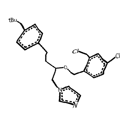 CC(C)(C)c1ccc(CCC(Cn2ccnc2)OCc2ccc(Cl)cc2Cl)cc1